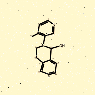 Cc1ccncc1N1CCc2ccccc2C1O